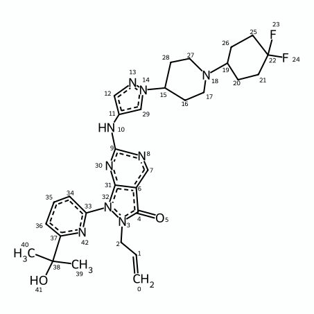 C=CCn1c(=O)c2cnc(Nc3cnn(C4CCN(C5CCC(F)(F)CC5)CC4)c3)nc2n1-c1cccc(C(C)(C)O)n1